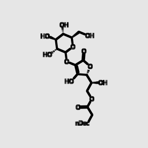 CCCCCCCCCCCC(=O)OC[C@H](O)[C@H]1OC(=O)C(OC2O[C@H](CO)[C@@H](O)[C@H](O)[C@H]2O)=C1O